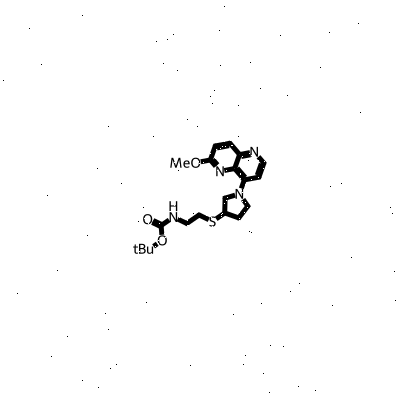 COc1ccc2nccc(N3CCC(SCCNC(=O)OC(C)(C)C)C3)c2n1